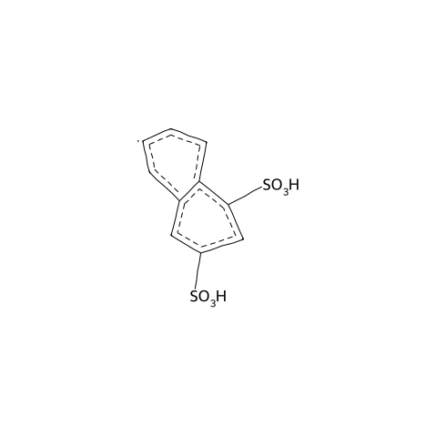 O=S(=O)(O)c1cc(S(=O)(=O)O)c2cc[c]cc2c1